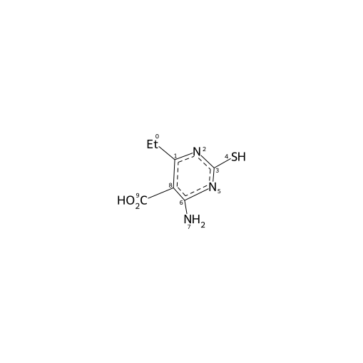 CCc1nc(S)nc(N)c1C(=O)O